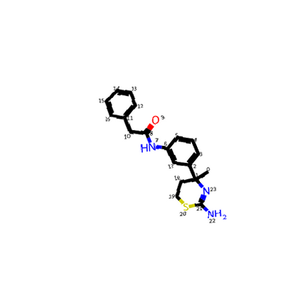 CC1(c2cccc(NC(=O)Cc3ccccc3)c2)CCSC(N)=N1